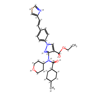 CCOC(=O)c1cn(-c2ccc(C=Cc3cscn3)cc2)nc1N(C(=O)C1CCC(C)CC1)C1CCOCC1